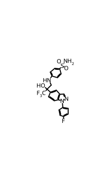 NS(=O)(=O)c1ccc(NCC(O)(c2ccc3c(cnn3-c3ccc(F)cc3)c2)C(F)(F)F)cc1